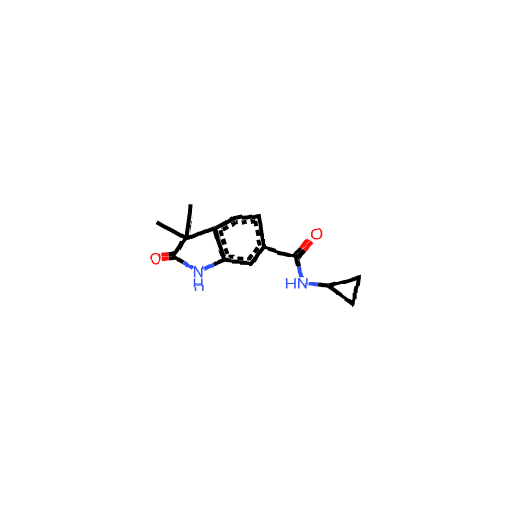 CC1(C)C(=O)Nc2cc(C(=O)NC3CC3)ccc21